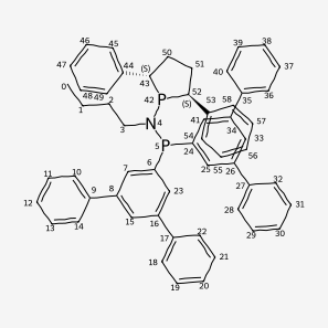 CCCCN(P(c1cc(-c2ccccc2)cc(-c2ccccc2)c1)c1cc(-c2ccccc2)cc(-c2ccccc2)c1)P1[C@H](c2ccccc2)CC[C@H]1c1ccccc1